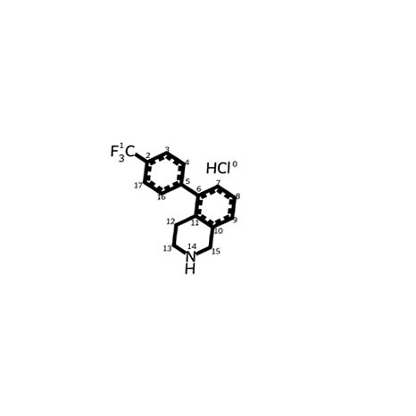 Cl.FC(F)(F)c1ccc(-c2cccc3c2CCNC3)cc1